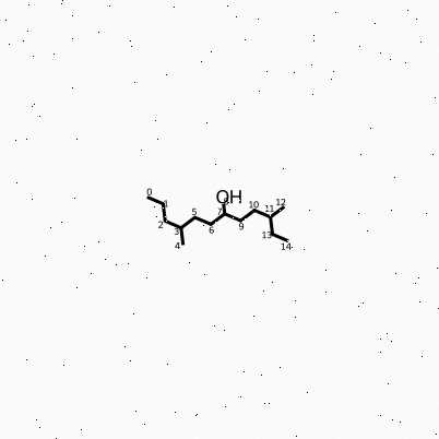 CCCC(C)CCC(O)CCC(C)CC